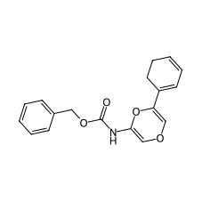 O=C(NC1=COC=C(C2=CC=CCC2)O1)OCc1ccccc1